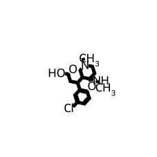 CNC12CCN(C)CC1C(CC(=O)O)c1cc(Cl)ccc1O2